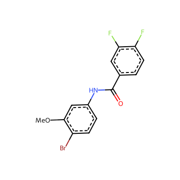 COc1cc(NC(=O)c2ccc(F)c(F)c2)ccc1Br